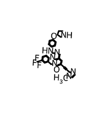 Cn1ccnc1C#Cc1cc2cnc(Nc3ccc(OC4CCNC4)cc3)nc2n(Cc2cccc(C(F)(F)F)c2)c1=O